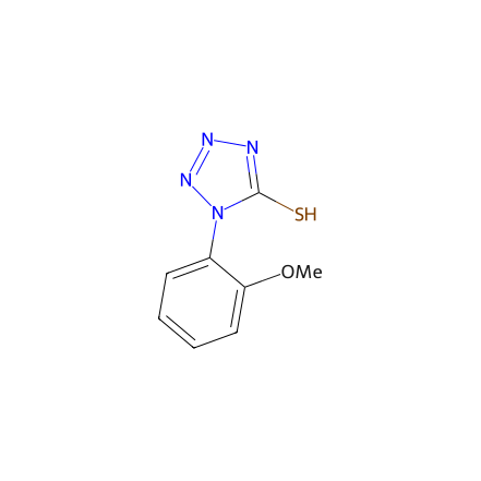 COc1ccccc1-n1nnnc1S